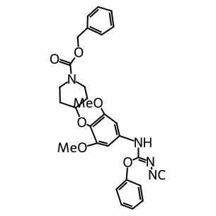 [C-]#[N+]/N=C(/Nc1cc(OC)c(OC2CCN(C(=O)OCc3ccccc3)CC2)c(OC)c1)Oc1ccccc1